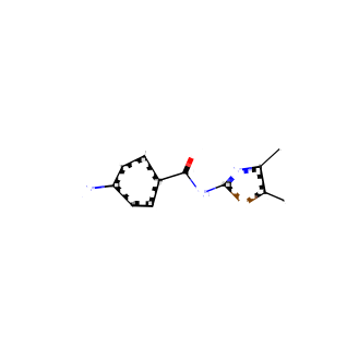 Cc1nc(NC(=O)c2ccc(N)cc2)sc1C